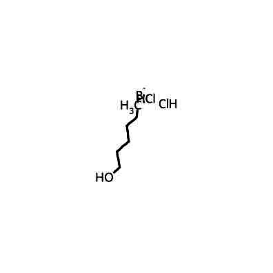 CCCCCCO.Cl.Cl.[B]